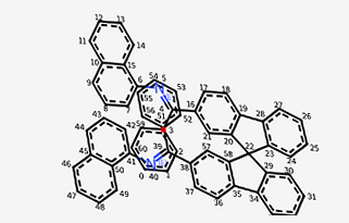 c1ccc(/C(=N\c2cccc3ccccc23)c2ccc3c(c2)C2(c4ccccc4-3)c3ccccc3-c3ccc(/C(=N/c4cccc5ccccc45)c4ccccc4)cc32)cc1